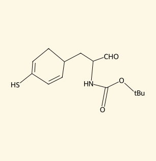 CC(C)(C)OC(=O)NC(C=O)CC1C=CC(S)=CC1